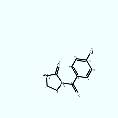 O=C1NCCN1C(=O)c1ccc(Cl)cc1